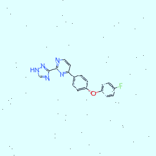 Fc1ccc(Oc2ccc(-c3ccnc(-c4nc[nH]n4)n3)cc2)cc1